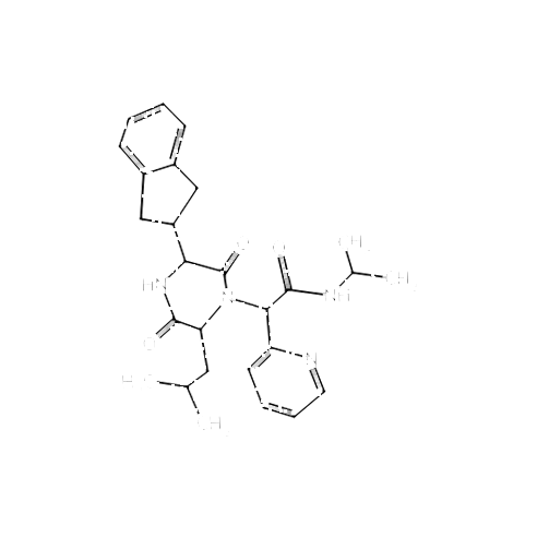 CC(C)CC1C(=O)NC(C2Cc3ccccc3C2)C(=O)N1C(C(=O)NC(C)C)c1ccccn1